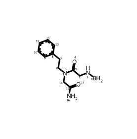 BNCC(=O)N(CCc1ccccc1)CC(N)=O